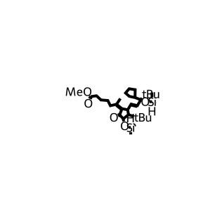 COC(=O)CCCCC(C)=C1C(=O)C(O[SiH](C)C)C(C(C)(C)C)C1C=CC(O[SiH](C)C)(C1CCCC1)C(C)(C)C